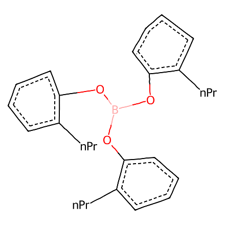 CCCc1ccccc1OB(Oc1ccccc1CCC)Oc1ccccc1CCC